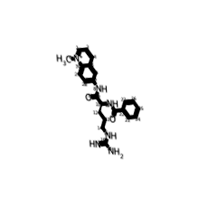 C[n+]1cccc2cc(NC(=O)[C@H](CCCNC(=N)N)NC(=O)c3ccccc3)ccc21